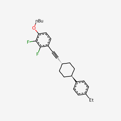 CCCCOc1ccc(C#C[C@H]2CC[C@H](c3ccc(CC)cc3)CC2)c(F)c1F